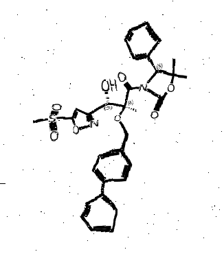 CC1(C)OC(=O)N(C(=O)[C@@](C)(OCc2ccc(-c3ccccc3)cc2)[C@@H](O)c2cc(S(C)(=O)=O)on2)[C@H]1c1ccccc1